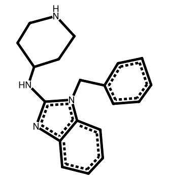 c1ccc(Cn2c(NC3CCNCC3)nc3ccccc32)cc1